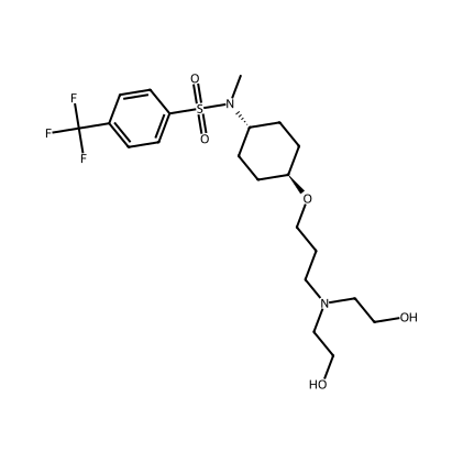 CN([C@H]1CC[C@H](OCCCN(CCO)CCO)CC1)S(=O)(=O)c1ccc(C(F)(F)F)cc1